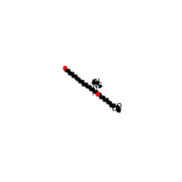 C=CC(=O)OCCCCCCCCCCCCCCCCCCCCCCCCCCCCCC.CSc1ncc[nH]1